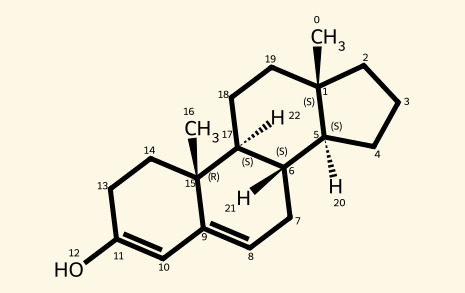 C[C@@]12CCC[C@H]1[C@@H]1CC=C3C=C(O)CC[C@]3(C)[C@H]1CC2